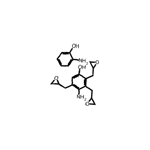 Nc1c(CC2CO2)cc(O)c(CC2CO2)c1CC1CO1.Nc1ccccc1O